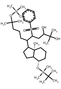 CC(C)(CCCC(C1CCC2[C@@H](O[Si](C)(C)C(C)(C)C)CCC[C@]12C)C(CC(O)C(C)(C)O)S(=O)(=O)c1ccccc1)O[Si](C)(C)C